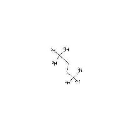 [2H]C([2H])([2H])CCC([2H])([2H])[2H]